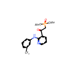 COP(=O)(CC(=O)c1cccnc1Nc1cccc(C(F)(F)F)c1)OC